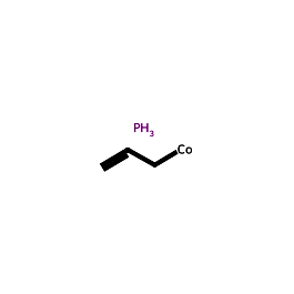 C=C[CH2][Co].P